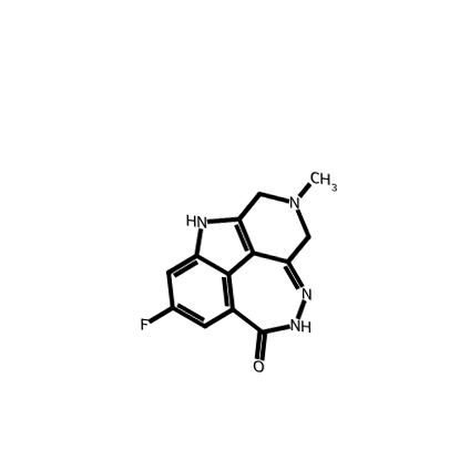 CN1CC2=NNC(=O)c3cc(F)cc4[nH]c(c2c34)C1